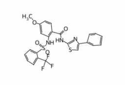 COc1ccc(C(=O)Nc2nc(-c3ccccc3)cs2)c(NS(=O)(=O)c2ccccc2C(F)(F)F)c1